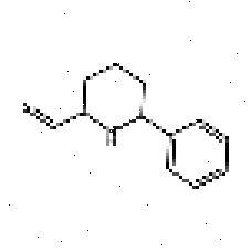 S=CC1CCCC(c2ccccc2)N1